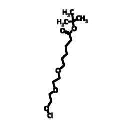 CC(C)(C)OC(=O)CCCCCOCCOCCOCl